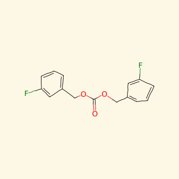 O=C(OCc1cccc(F)c1)OCc1cccc(F)c1